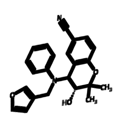 CC1(C)Oc2ccc(C#N)cc2C(N(Cc2ccoc2)c2ccccc2)[C@H]1O